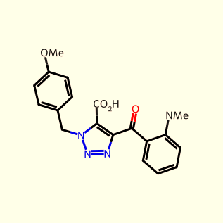 CNc1ccccc1C(=O)c1nnn(Cc2ccc(OC)cc2)c1C(=O)O